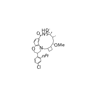 CCCc1cc(Cl)ccc1C1COc2ccc3cc2N(C1)CC1CCC1C(OC)CC(C)[C@H](C)[S+]([O-])NC3=O